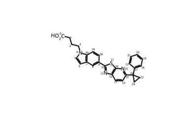 O=C(O)CCCn1ccc2cc(-c3nc4ccc(C5(c6ccccc6)CC5)nc4s3)ccc21